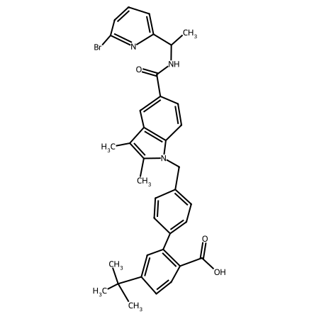 Cc1c(C)n(Cc2ccc(-c3cc(C(C)(C)C)ccc3C(=O)O)cc2)c2ccc(C(=O)NC(C)c3cccc(Br)n3)cc12